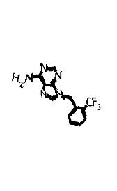 Nc1ncnc2c1ncn2Cc1ccccc1C(F)(F)F